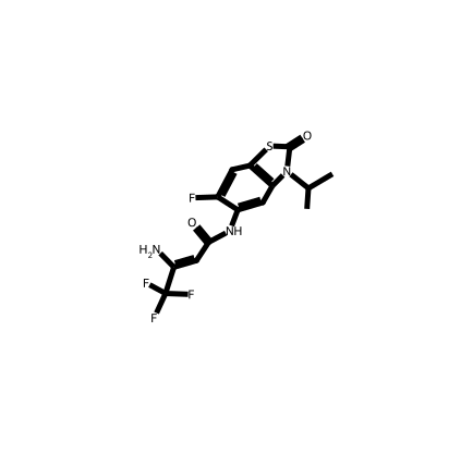 CC(C)n1c(=O)sc2cc(F)c(NC(=O)C=C(N)C(F)(F)F)cc21